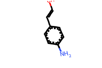 Nc1ccc(C=CO)cc1